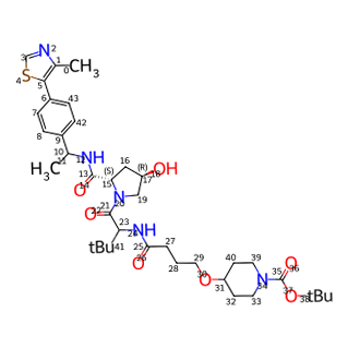 Cc1ncsc1-c1ccc(C(C)NC(=O)[C@@H]2C[C@@H](O)CN2C(=O)C(NC(=O)CCCOC2CCN(C(=O)OC(C)(C)C)CC2)C(C)(C)C)cc1